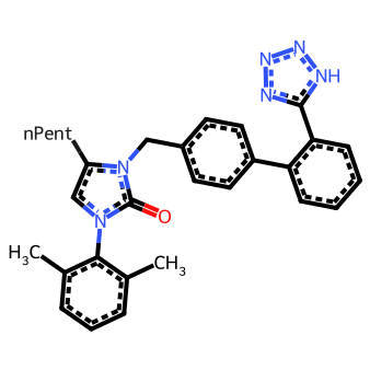 CCCCCc1cn(-c2c(C)cccc2C)c(=O)n1Cc1ccc(-c2ccccc2-c2nnn[nH]2)cc1